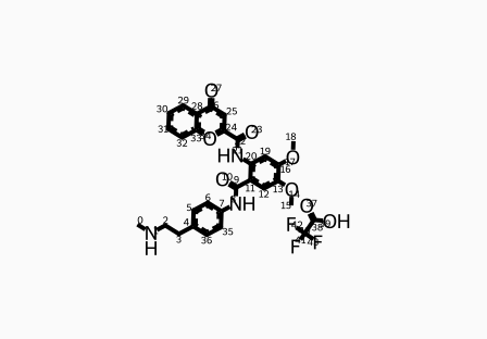 CNCCc1ccc(NC(=O)c2cc(OC)c(OC)cc2NC(=O)c2cc(=O)c3ccccc3o2)cc1.O=C(O)C(F)(F)F